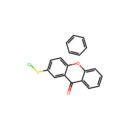 O=c1c2ccccc2oc2ccc(SCl)cc12.c1ccccc1